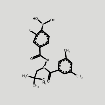 Cc1cc(C)cc(C(=O)N(CC(C)(C)C)NC(=O)c2ccc(B(O)O)c(F)c2)c1